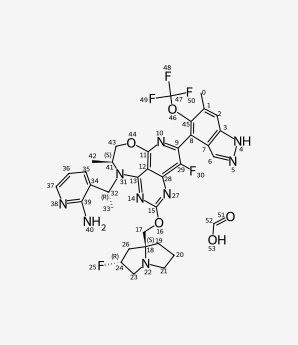 Cc1cc2[nH]ncc2c(-c2nc3c4c(nc(OC[C@@]56CCCN5C[C@H](F)C6)nc4c2F)N([C@H](C)c2cccnc2N)[C@@H](C)CO3)c1OC(F)(F)F.O=CO